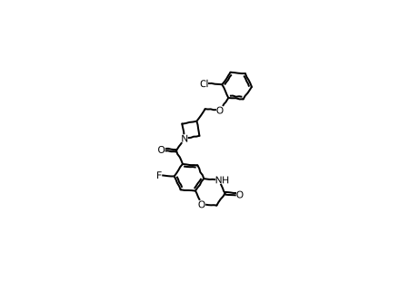 O=C1COc2cc(F)c(C(=O)N3CC(COc4ccccc4Cl)C3)cc2N1